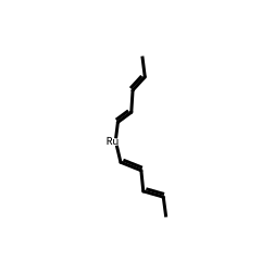 CC=CC=[CH][Ru][CH]=CC=CC